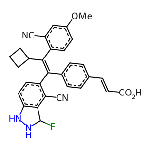 COc1ccc(/C(=C(\c2ccc(/C=C/C(=O)O)cc2)c2ccc3c(c2C#N)C(F)NN3)C2CCC2)c(C#N)c1